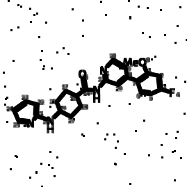 COc1cc(F)ccc1-c1ccnc(NC(=O)C2CCC(Nc3ccccn3)CC2)c1